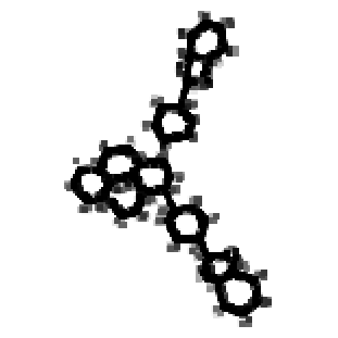 c1cc2ccc3c(-c4ccc(-c5nc6ccccc6o5)cc4)cc(-c4ccc(-c5nc6ccccc6o5)cc4)c4ccc(c1)c2c34